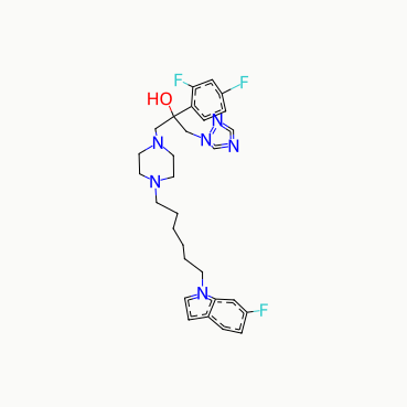 OC(CN1CCN(CCCCCCn2ccc3ccc(F)cc32)CC1)(Cn1cncn1)c1ccc(F)cc1F